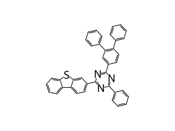 c1ccc(-c2nc(-c3ccc(-c4ccccc4)c(-c4ccccc4)c3)nc(-c3ccc4c(c3)sc3ccccc34)n2)cc1